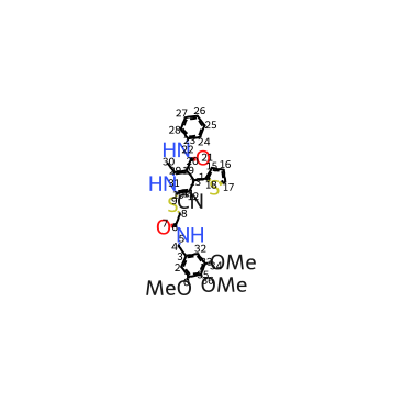 COc1cc(CNC(=O)CSC2=C(C#N)C(c3cccs3)C(C(=O)Nc3ccccc3)=C(C)N2)cc(OC)c1OC